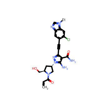 C=CC(=O)N1C[C@@H](n2nc(C#Cc3cc4ncn(CC)c4cc3Cl)c(C(N)=O)c2N)C[C@@H]1CO